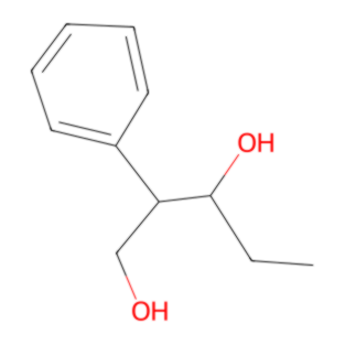 CCC(O)C(CO)c1ccccc1